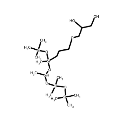 C[SiH](O[Si](C)(C)O[Si](C)(C)C)O[Si](C)(CCCOCC(O)CO)O[Si](C)(C)C